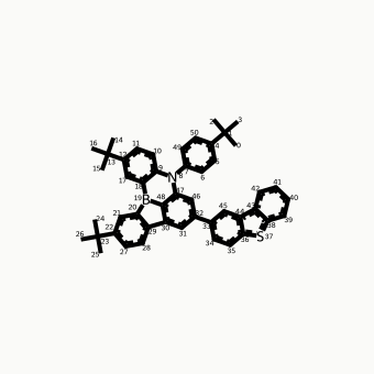 CC(C)(C)c1ccc(N2c3ccc(C(C)(C)C)cc3B3c4cc(C(C)(C)C)ccc4-c4cc(-c5ccc6sc7ccccc7c6c5)cc2c43)cc1